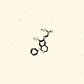 CCN(C)/C=N/c1cc2c(cc1C)[C@@H](c1ccccc1)OCC2